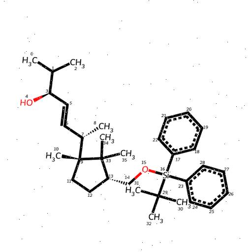 CC(C)[C@H](O)C=C[C@H](C)[C@@]1(C)CC[C@@H](CO[Si](c2ccccc2)(c2ccccc2)C(C)(C)C)C1(C)C